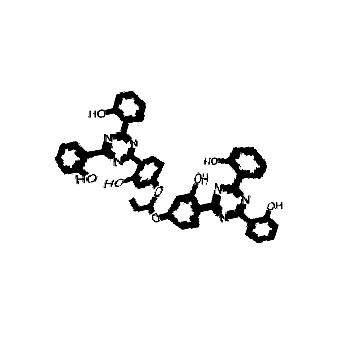 CCC(Oc1ccc(-c2nc(-c3ccccc3O)nc(-c3ccccc3O)n2)c(O)c1)Oc1ccc(-c2nc(-c3ccccc3O)nc(-c3ccccc3O)n2)c(O)c1